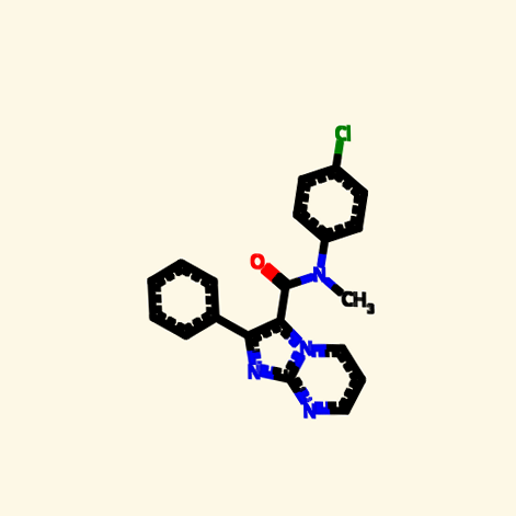 CN(C(=O)c1c(-c2ccccc2)nc2ncccn12)c1ccc(Cl)cc1